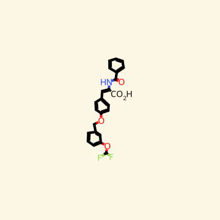 O=C(O)/C(=C\c1ccc(OCc2cccc(OC(F)F)c2)cc1)NC(=O)c1ccccc1